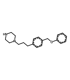 c1ccc(OCc2ccc(CCCN3CCNCC3)cc2)cc1